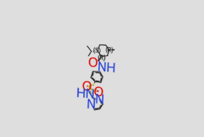 CC(C)[C@@H]1CC[C@@H](C)C[C@H]1C(=O)Nc1ccc(S(=O)(=O)Nc2ncccn2)cc1